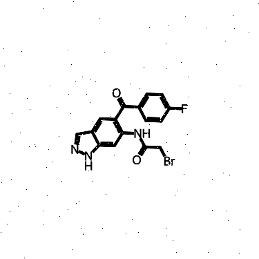 O=C(CBr)Nc1cc2[nH]ncc2cc1C(=O)c1ccc(F)cc1